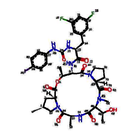 C[C@@H]1C[C@H]2C(=O)O[C@@H](C)[C@H](NC(=O)[C@H](Cc3cc(F)cc(F)c3)NC(=O)Nc3ccc(I)cc3)C(=O)N3CCC[C@H]3C(=O)N(C)[C@@H]([C@H](C)O)C(=O)N[C@@H](C)C(=O)N2C1